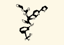 O=C(Nc1c(C(=O)Nc2cccc(C(F)(F)F)c2)sc2nc(-c3cccs3)ccc12)OCCl